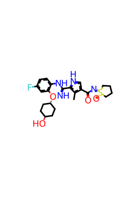 Cc1c(C(=O)N=S2(=O)CCCC2)c[nH]c1C(=N)Nc1ccc(F)cc1O[C@H]1CC[C@H](O)CC1